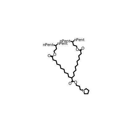 CCCCCC(CCCCC)CCOC(=O)CCCCCCCCCC(CCCCCCCCCC(=O)OCCC(CCCCC)CCCCC)C(=O)OCCCN1CCCC1